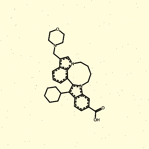 O=C(O)c1ccc2c(C3CCCCC3)c3n(c2c1)CCCCn1cc(CN2CCOCC2)c2cccc-3c21